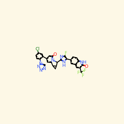 O=c1[nH]c2ccc(-c3[nH]c(C4C5CC5c5cc(-c6cc(Cl)ccc6-n6cnnn6)cc(=O)n54)nc3F)cc2cc1C(F)(F)F